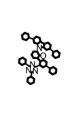 c1ccc(-c2cc(-c3nc(-c4ccccc4)nc(-c4ccccc4)n3)c3c(c2)oc2c(-n4c5cc(-c6ccccc6)ccc5c5ccc(-c6ccccc6)cc54)cccc23)cc1